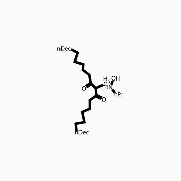 CCCCCCCCCCCCCCCC(=O)C(C)C(=O)CCCCCCCCCCCCCCC.CCCNO